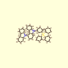 c1ccc(S(c2ccccc2)(c2ccccc2)c2cccc(-n3c4ccccc4c4c(-n5c6ccccc6c6ccccc65)cccc43)c2)cc1